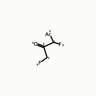 CC(=O)C(F)C(=O)CF